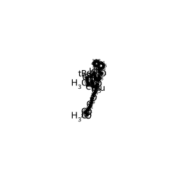 C[C@@H](C(=O)N[C@H](C(=O)N1C[C@@H](OCCOCCOCCOCCOS(C)(=O)=O)C[C@H]1C(=O)NC1CCCc2ccccc21)C(C)(C)C)N(C)C(=O)OC(C)(C)C